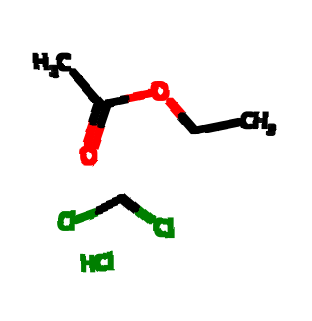 CCOC(C)=O.Cl.ClCCl